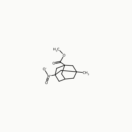 COC(=O)C12CC3CC(C)(C1)CC([N+](=O)[O-])(C3)C2